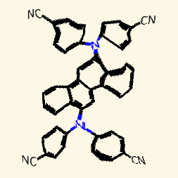 N#Cc1ccc(N(c2ccc(C#N)cc2)c2cc3c4ccccc4c(N(c4ccc(C#N)cc4)c4ccc(C#N)cc4)cc3c3ccccc23)cc1